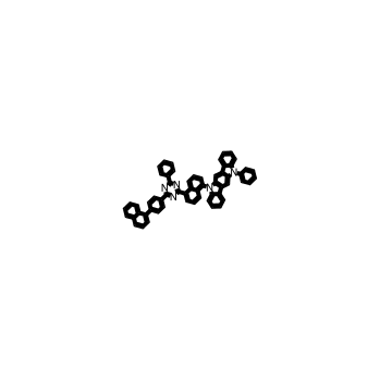 c1ccc(-c2nc(-c3ccc(-c4cccc5ccccc45)cc3)nc(-c3cccc4c(-n5c6ccccc6c6cc7c(cc65)c5ccccc5n7-c5ccccc5)cccc34)n2)cc1